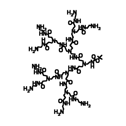 CC(C)(C)OC(=O)NCCN(CCC(=O)NCCN(CCC(=O)NCCN(CCC(=O)NCCN)CCC(=O)NCCN)CCC(=O)NCCN(CCC(=O)NCCN)CCC(=O)NCCN)CCC(=O)NCCN(CCC(=O)NCCN(CCC(=O)NCCN)CCC(=O)NCCN)CCC(=O)NCCN(CCC(=O)NCCN)CCC(=O)NCCN